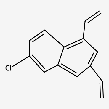 C=Cc1cc(C=C)c2ccc(Cl)cc2c1